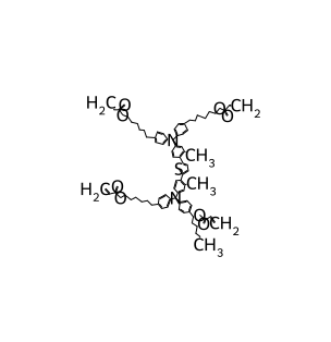 C=CC(=O)OCCCCCCc1ccc(N(c2ccc(CCCCCCOC(=O)C=C)cc2)c2ccc(-c3ccc(-c4ccc(N(c5ccc(CCCCCCOC(=O)C=C)cc5)c5ccc(C(CCCCC)OC(=O)C=C)cc5)cc4C)s3)c(C)c2)cc1